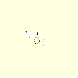 Cn1c(=O)n(C2CCC(=O)NC2=O)c2cccc(C3CCN(C(=O)O)C3C(C)(C)C)c21